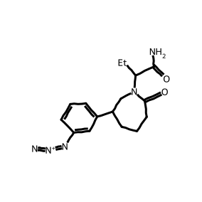 CCC(C(N)=O)N1CC(c2cccc(N=[N+]=[N-])c2)CCCC1=O